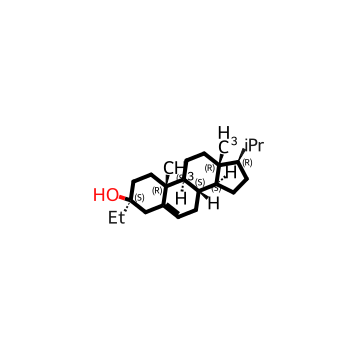 CC[C@]1(O)CC[C@@]2(C)C(=CC[C@H]3[C@@H]4CC[C@H](C(C)C)[C@@]4(C)CC[C@@H]32)C1